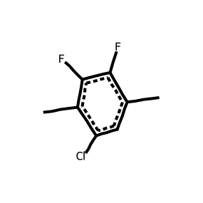 Cc1cc(Cl)c(C)c(F)c1F